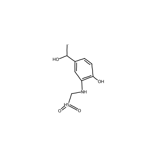 [CH2]C(O)c1ccc(O)c(NC[SH](=O)=O)c1